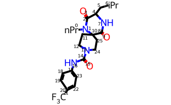 CCCN1C(=O)C(CC(C)C)NC(=O)C12CCN(C(=O)Nc1ccc(C(F)(F)F)cc1)CC2